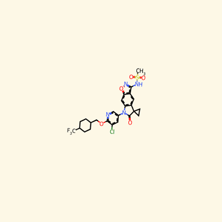 CS(=O)(=O)Nc1noc2cc3c(cc12)C1(CC1)C(=O)N3c1cnc(OCC2CCC(C(F)(F)F)CC2)c(Cl)c1